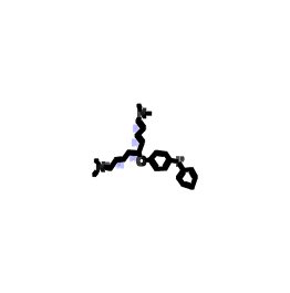 CN(C)/C=C/C=C/C(=C/C=C/C=[N+](C)C)Oc1ccc([I+]c2ccccc2)cc1